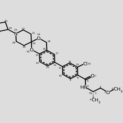 COC[C@H](C)NC(=O)c1ccc(-c2ccc3c(c2)COC2(CCN(C4CCC4)CC2)O3)cc1Cl